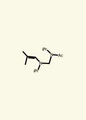 CC(=O)N(CN(C=C(C)C)C(C)C)C(C)C